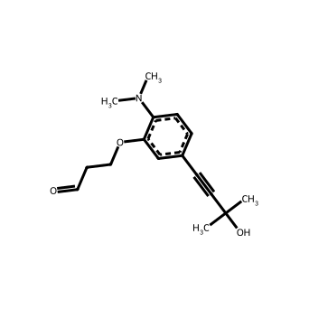 CN(C)c1ccc(C#CC(C)(C)O)cc1OCCC=O